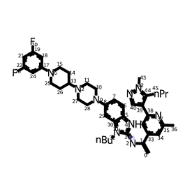 C=C(/N=c1\[nH]c2ccc(N3CCN(C4CCN(c5cc(F)cc(F)c5)CC4)CC3)cc2n1CCCC)c1cc(C)nc(-c2cnn(C)c2CCC)c1